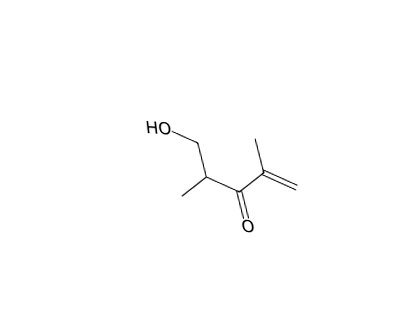 C=C(C)C(=O)C(C)CO